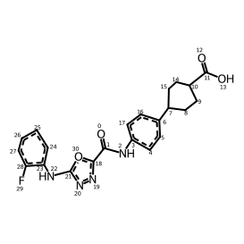 O=C(Nc1ccc(C2CCC(C(=O)O)CC2)cc1)c1nnc(Nc2ccccc2F)o1